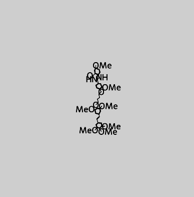 COc1ccc2c(c1)C(=O)NC(c1ccc(OCCCCOc3c(OC)cc(/C=C/c4cc(OC)c(OC)c(OC)c4)cc3OC)c(OC)c1)N2